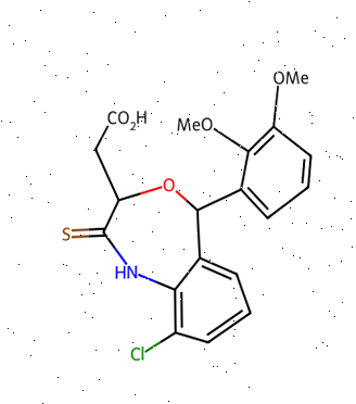 COc1cccc(C2OC(CC(=O)O)C(=S)Nc3c(Cl)cccc32)c1OC